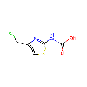 O=C(O)Nc1nc(CCl)cs1